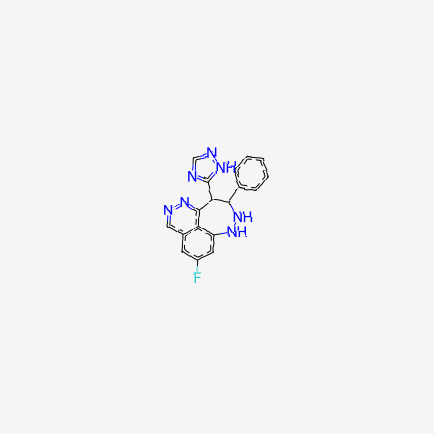 Fc1cc2c3c(nncc3c1)C(c1ncn[nH]1)C(c1ccccc1)NN2